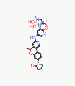 CC1Oc2cc(N3CCCC3=O)ccc2-c2cnc(Nc3cnc4c(c3)N3[C@H](CO4)CN(C)S3(O)O)cc21